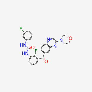 O=C(Nc1cccc(F)c1)Nc1cccc(C(=O)c2ccc3ncc(N4CCOCC4)nc3c2)c1F